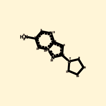 Nc1cnc2cc(N3CCCC3)nn2c1